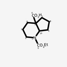 CCOC(=O)N1CCCC2(C(=O)O)CCCC12